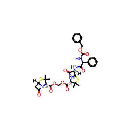 CC1(C)S[C@@H]2[C@H](NC(=O)C(NC(=O)OCc3ccccc3)c3ccccc3)C(=O)N2[C@H]1C(=O)OCOC(=O)[C@@H]1N2C(=O)C[C@H]2SC1(C)C